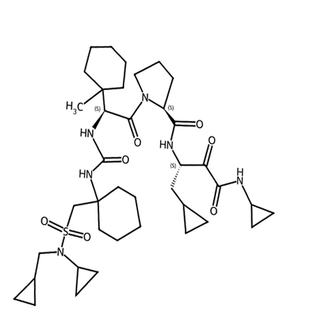 CC1([C@H](NC(=O)NC2(CS(=O)(=O)N(CC3CC3)C3CC3)CCCCC2)C(=O)N2CCC[C@H]2C(=O)N[C@@H](CC2CC2)C(=O)C(=O)NC2CC2)CCCCC1